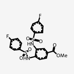 COC(=O)c1ccc(NS(=O)(=O)c2ccc(F)cc2)c(NS(=O)(=O)c2ccc(F)cc2)c1